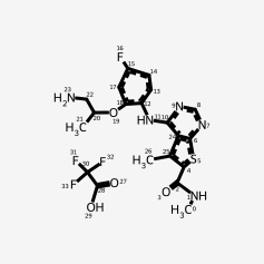 CNC(=O)c1sc2ncnc(Nc3ccc(F)cc3OC(C)CN)c2c1C.O=C(O)C(F)(F)F